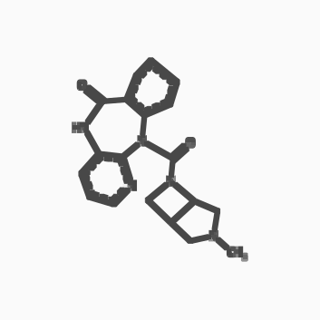 CN1CC2CN(C(=O)N3c4ccccc4C(=O)Nc4cccnc43)C2C1